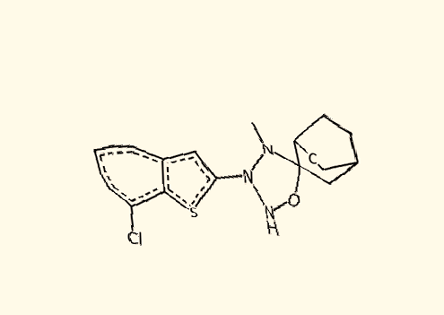 CN1N(c2cc3cccc(Cl)c3s2)NOC12CC1CCC2CC1